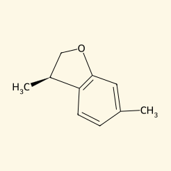 Cc1ccc2c(c1)OC[C@@H]2C